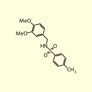 COc1ccc(CNS(=O)(=O)c2ccc(C)cc2)cc1OC